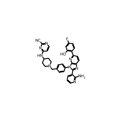 N#Cc1nccc(NC2CCN(Cc3ccc(-n4c(-c5cccnc5N)nc5ccc(-c6ccc(F)cc6O)nc54)cc3)CC2)n1